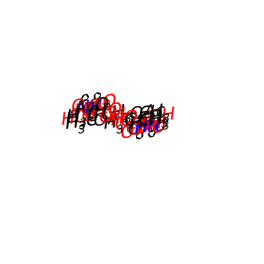 CC(=O)O[C@@H]1C2=C(C)[C@@H](OC(=O)[C@H](O)[C@@H](NC(=O)c3ccccc3)c3ccccc3)C[C@@](O)([C@@H](OC(=O)c3ccccc3)[C@H]3[C@@](C)([C@@H](OC(=O)CCCCC(=O)O[C@H]4CC5OC[C@@]5(OC(C)=O)[C@H]5[C@H](OC(=O)c6ccccc6)[C@]6(O)C[C@H](OC(=O)[C@H](O)[C@@H](NC(=O)c7ccccc7)c7ccccc7)C(C)=C([C@@H](OC(C)=O)[C@H](O)[C@]45C)C6(C)C)CC4OC[C@]43OC(C)=O)[C@H]1O)C2(C)C